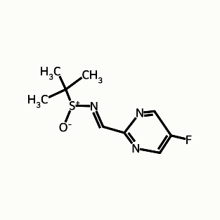 CC(C)(C)[S+]([O-])N=Cc1ncc(F)cn1